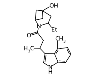 CCC1CC2(O)CC(C2)N1C(=O)CC(C)c1c[nH]c2cccc(C)c12